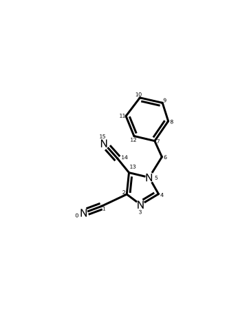 N#Cc1ncn(Cc2ccccc2)c1C#N